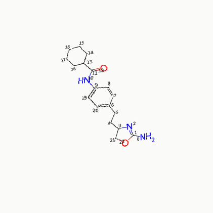 NC1=NC(CCc2ccc(NC(=O)C3CCCCC3)cc2)CO1